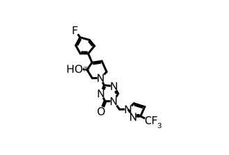 O=c1nc(N2CC=C(c3ccc(F)cc3)[C@H](O)C2)ncn1Cn1ccc(C(F)(F)F)n1